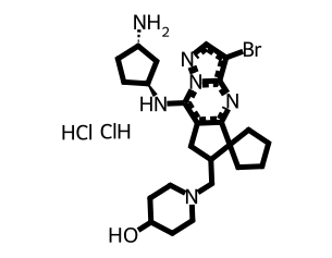 Cl.Cl.N[C@H]1CC[C@H](Nc2c3c(nc4c(Br)cnn24)C2(CCCC2)C(CN2CCC(O)CC2)C3)C1